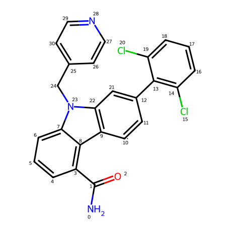 NC(=O)c1cccc2c1c1[c]cc(-c3c(Cl)cccc3Cl)cc1n2Cc1ccncc1